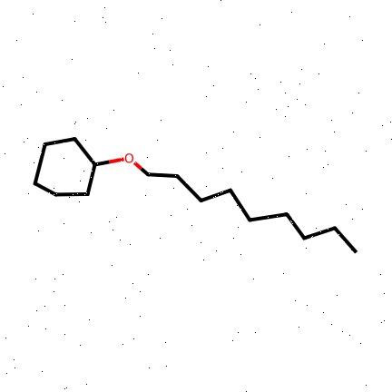 CCCCCCCCCOC1CCCCC1